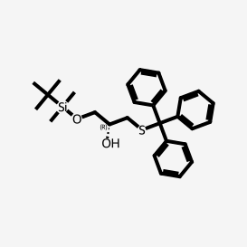 CC(C)(C)[Si](C)(C)OC[C@@H](O)CSC(c1ccccc1)(c1ccccc1)c1ccccc1